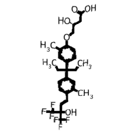 CCC(CC)(c1ccc(/C=C/C(O)(C(F)(F)F)C(F)(F)F)c(C)c1)c1ccc(OC[C@H](O)CC(=O)O)c(C)c1